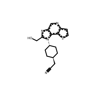 N#CC[C@H]1CC[C@H](n2c(CO)nc3cnc4ccsc4c32)CC1